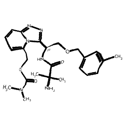 Cc1cccc(COC[C@@H](NC(=O)C(C)(C)N)c2nnc3cccc(COC(=O)N(C)C)n23)c1